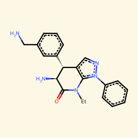 CCN1C(=O)[C@@H](N)[C@H](c2cccc(CN)c2)c2cnn(-c3ccccc3)c21